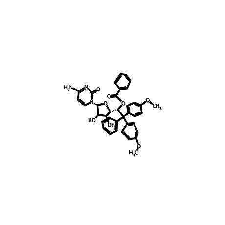 COc1ccc(C(c2ccccc2)(c2ccc(OC)cc2)C(OC(=O)c2ccccc2)[C@H]2O[C@@H](n3ccc(N)nc3=O)[C@H](O)[C]2O)cc1